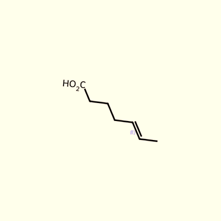 C/C=C/CCCC(=O)O